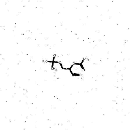 CC(C)(C)OCC(C=O)OC(N)=O